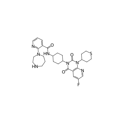 O=C(NC1CCC(n2c(=O)c3cc(F)cnc3n(C3CCSCC3)c2=O)CC1)c1cccnc1N1CCCNCC1